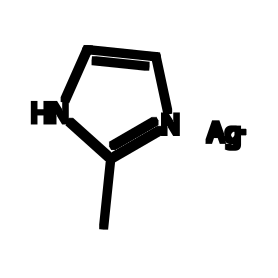 Cc1ncc[nH]1.[Ag]